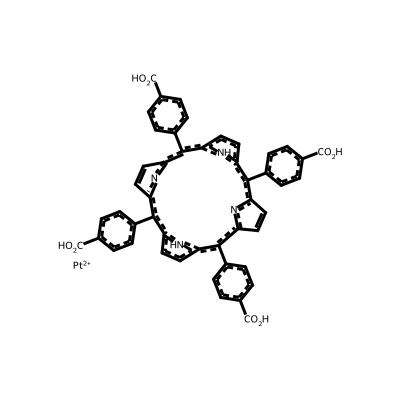 O=C(O)c1ccc(-c2c3nc(c(-c4ccc(C(=O)O)cc4)c4ccc([nH]4)c(-c4ccc(C(=O)O)cc4)c4nc(c(-c5ccc(C(=O)O)cc5)c5ccc2[nH]5)C=C4)C=C3)cc1.[Pt+2]